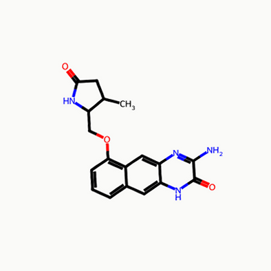 CC1CC(=O)NC1COc1cccc2cc3[nH]c(=O)c(N)nc3cc12